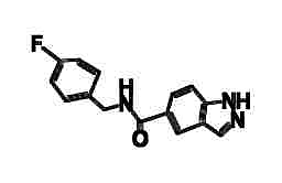 O=C(NCc1ccc(F)cc1)c1ccc2[nH]ncc2c1